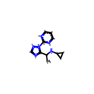 CC(NC1CC1)c1ncnn1-c1ncccn1